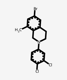 Cc1cc(Br)cc2c1CN(c1ccc(Cl)c(Cl)c1)CC2